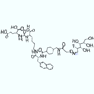 O=C(O)CCC(NC(=O)NC(CCCCNC(=O)C(Cc1ccc2ccccc2c1)NC(=O)C1CCC(CNC(=O)CO/N=C\C(F)C(O)C(O)C(O)CO)CC1)C(=O)O)C(=O)O